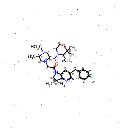 CC1N(C[C@H]2CN(C(=O)O)[C@H](C)CN2CC(=O)N2CC(C)(C)c3ncc(Cc4ccc(F)cc4)cc32)CCOC1(C)C